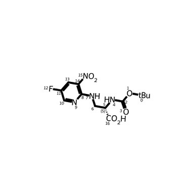 CC(C)(C)OC(=O)N[C@@H](CNc1ncc(F)cc1[N+](=O)[O-])C(=O)O